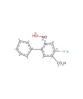 O=C(O)c1cc(-c2ccccc2)ncc1F.O=NO